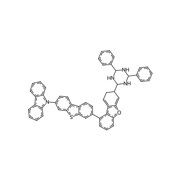 C1=c2oc3cccc(-c4ccc5c(c4)sc4cc(-n6c7ccccc7c7ccccc76)ccc45)c3c2=CCC1C1NC(c2ccccc2)NC(c2ccccc2)N1